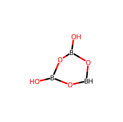 OB1OBOB(O)O1